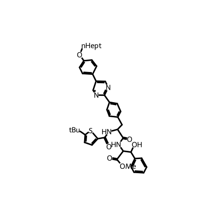 CCCCCCCOc1ccc(-c2cnc(-c3ccc(CC(NC(=O)c4ccc(C(C)(C)C)s4)C(=O)NC(C(=O)OC)C(O)c4ccccc4)cc3)nc2)cc1